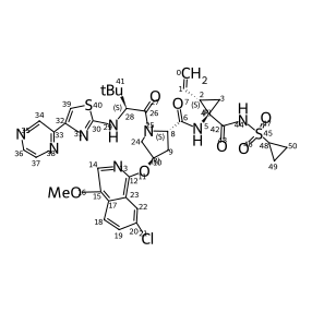 C=C[C@@H]1C[C@]1(NC(=O)[C@@H]1C[C@@H](Oc2ncc(OC)c3ccc(Cl)cc23)CN1C(=O)[C@@H](Nc1nc(-c2cnccn2)cs1)C(C)(C)C)C(=O)NS(=O)(=O)C1CC1